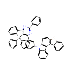 c1ccc(-c2nc(-c3cccc(-n4c5ccccc5c5c6c(ccc54)sc4ccccc46)c3)c3c(n2)-c2ccccc2[Si]3(c2ccccc2)c2ccccc2)cc1